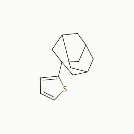 c1csc(C23CC4CC(CC(C4)C2)C3)c1